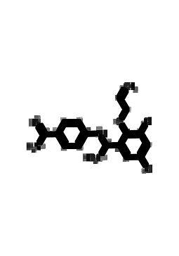 C=CCOc1c(Cl)cc(Cl)cc1C(Nc1ccc(C(=N)N)cc1)C(=O)O